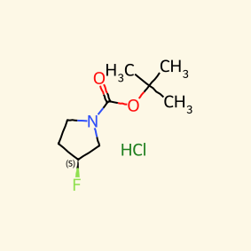 CC(C)(C)OC(=O)N1CC[C@H](F)C1.Cl